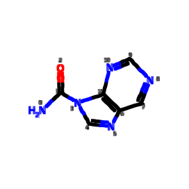 NC(=O)n1cnc2[c]ncnc21